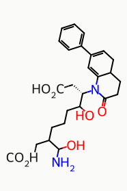 NC(O)C(CCCC(O)[C@H](CC(=O)O)N1C(=O)CCC2CC=C(c3ccccc3)C=C21)CC(=O)O